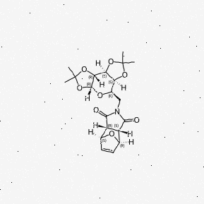 CC1(C)O[C@H]2[C@@H](O1)[C@@H](CN1C(=O)[C@@H]3[C@H](C1=O)[C@H]1C=C[C@@H]3O1)O[C@@H]1OC(C)(C)O[C@@H]12